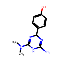 CN(C)C1=NC(c2ccc(O)cc2)N=C(N)N1